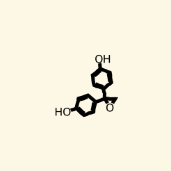 Oc1ccc(C2(c3ccc(O)cc3)CO2)cc1